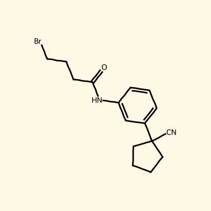 N#CC1(c2cccc(NC(=O)CCCBr)c2)CCCC1